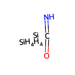 N=C=O.[SiH4].[SiH4]